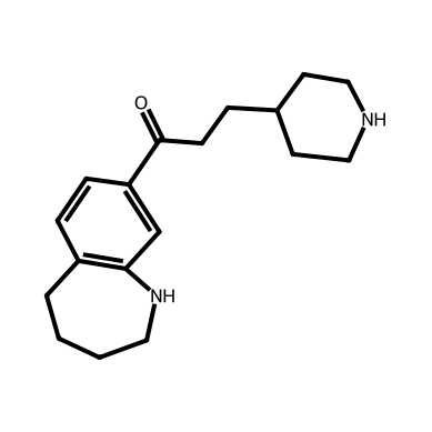 O=C(CCC1CCNCC1)c1ccc2c(c1)NCCCC2